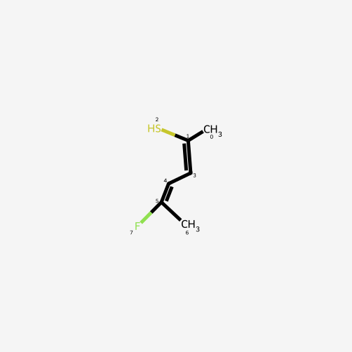 C/C(S)=C/C=C(\C)F